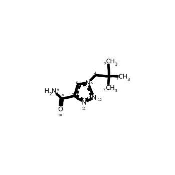 CC(C)(C)Cn1cc(C(N)=O)nn1